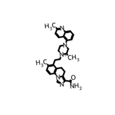 Cc1ccc2c(N3CCN(CCc4c(C)ccc5c4CCc4c(C(N)=O)ncn4-5)[C@H](C)C3)cccc2n1